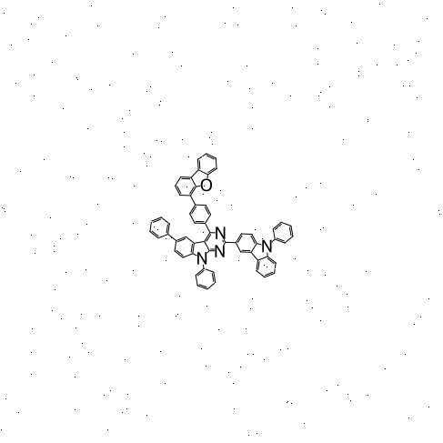 c1ccc(-c2ccc3c(c2)c2c(-c4ccc(-c5cccc6c5oc5ccccc56)cc4)nc(-c4ccc5c(c4)c4ccccc4n5-c4ccccc4)nc2n3-c2ccccc2)cc1